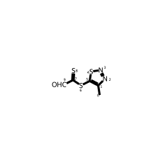 Cc1nnsc1SC(=S)C=O